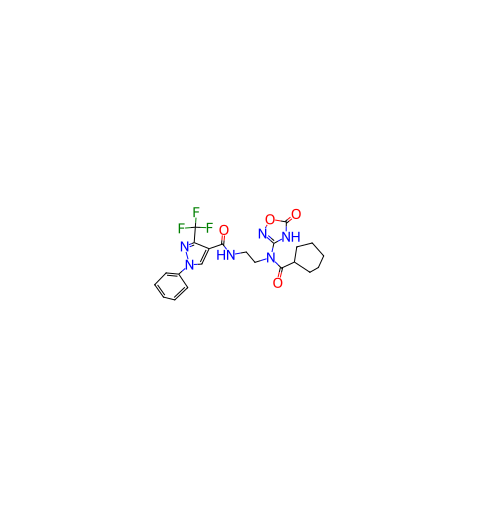 O=C(NCCN(C(=O)C1CCCCC1)c1noc(=O)[nH]1)c1cn(-c2ccccc2)nc1C(F)(F)F